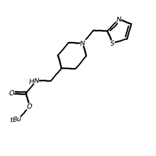 CC(C)(C)OC(=O)NCC1CCN(Cc2nccs2)CC1